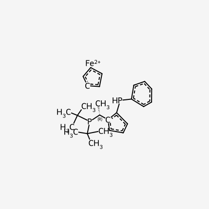 C[C@H]([c-]1cccc1Pc1ccccc1)P(C(C)(C)C)C(C)(C)C.[Fe+2].c1cc[cH-]c1